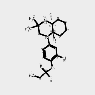 CC1(C)CN(c2ccc(OC(F)(F)CO)c(Cl)c2)[C@H]2CCCC[C@@H]2N1